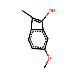 COc1ccc2c(c1)C(O)=C2C